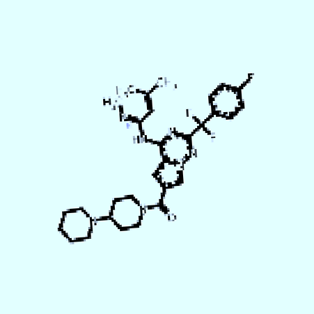 C/N=C(\C=C(C)C)Nc1nc(C(F)(F)c2ccc(F)cc2)nn2cc(C(=O)N3CCC(N4CCCCC4)CC3)cc12